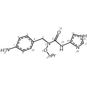 CCCON(Cc1ccc(N)cc1)C(=O)Nc1c[nH]cn1